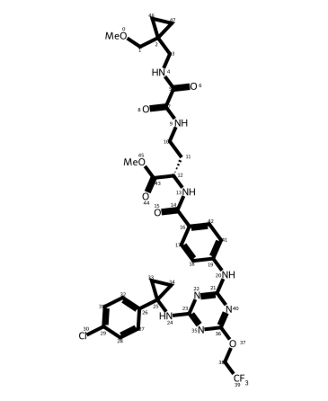 COCC1(CNC(=O)C(=O)NCC[C@H](NC(=O)c2ccc(Nc3nc(NC4(c5ccc(Cl)cc5)CC4)nc(OCC(F)(F)F)n3)cc2)C(=O)OC)CC1